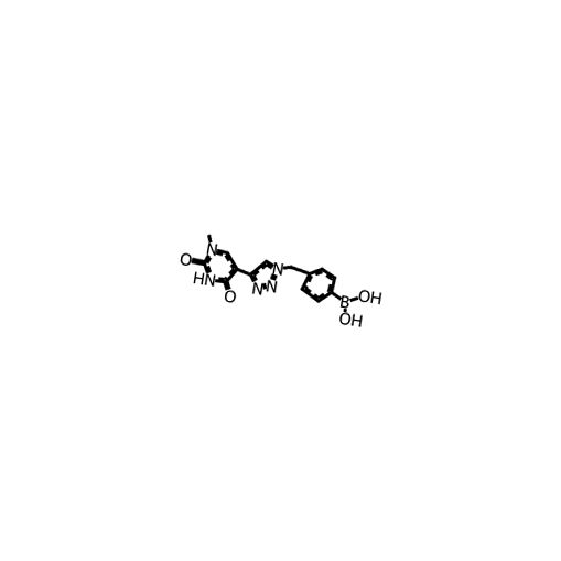 Cn1cc(-c2cn(Cc3ccc(B(O)O)cc3)nn2)c(=O)[nH]c1=O